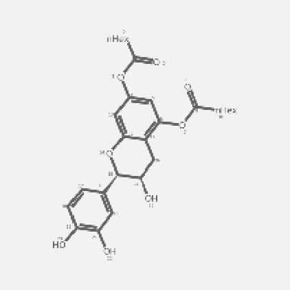 CCCCCCC(=O)Oc1cc(OC(=O)CCCCCC)c2c(c1)O[C@H](c1ccc(O)c(O)c1)[C@H](O)C2